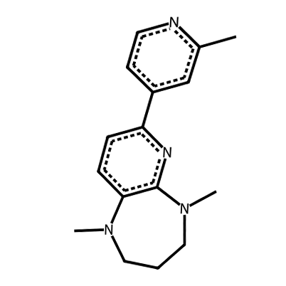 Cc1cc(-c2ccc3c(n2)N(C)CCCN3C)ccn1